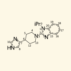 CC(C)n1c(N2CCC(c3c[nH]cn3)CC2)nc2ccccc21